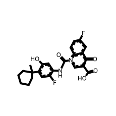 CC1(c2cc(F)c(NC(=O)n3cc(C(=O)O)c(=O)c4cc(F)ccc43)cc2O)CCCCC1